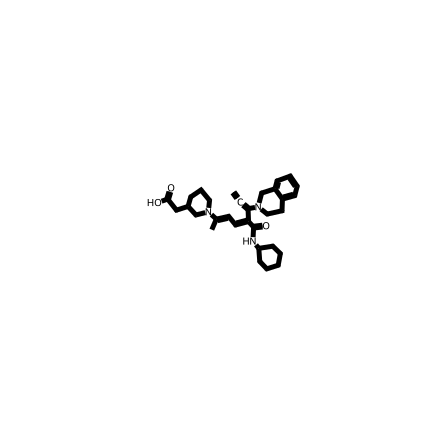 C=C=C(/C(=C\C=C(/C)N1CCCC(CC(=O)O)C1)C(=O)NC1CCCCC1)N1CCc2ccccc2C1